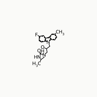 Cc1ccc2c(c1)c1cc(F)ccc1n2CC(O)CN1CC(C)NC1=O